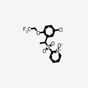 CC(c1cc(Cl)ccc1OCC(F)(F)F)S(=O)(=O)c1cccc[n+]1[O-]